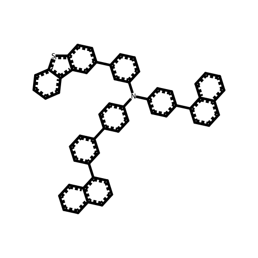 c1cc(-c2ccc(N(c3ccc(-c4cccc5ccccc45)cc3)c3cccc(-c4ccc5sc6ccccc6c5c4)c3)cc2)cc(-c2cccc3ccccc23)c1